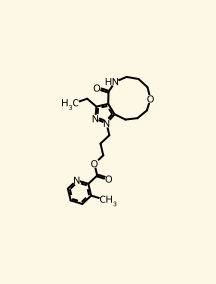 CCc1nn(CCCOC(=O)c2ncccc2C)c2c1C(=O)NCCCOCCC2